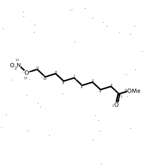 COC(=O)CCCCCCCCCO[N+](=O)[O-]